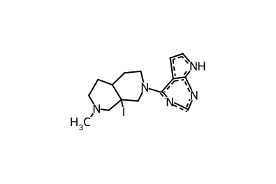 CN1CCC2CCN(c3ncnc4[nH]ccc34)CC2(I)C1